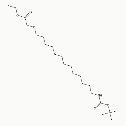 CCOC(=O)COCCCCCCCCCCCCCNC(=O)OC(C)(C)C